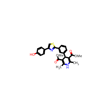 COC(=O)C1=C(C)NC(C)=C(C(=O)OC)C1c1cccc(-c2nc(-c3ccc(O)cc3)cs2)c1